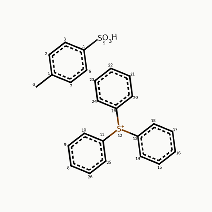 Cc1ccc(S(=O)(=O)O)cc1.c1ccc([S+](c2ccccc2)c2ccccc2)cc1